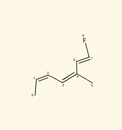 C\C=C/C=C(C)\C=C\F